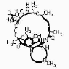 CC(=O)O[C@H]1[C@H](C)[C@H](O)[C@H](C)C[C@@H](C)/C=C/C=C(/C)C(=O)NC2=C3NCCN(C)CCCC/N=C\3c3c(c(O)c(C)c4c3C(=O)[C@@](C)(CCC[C@H]1C)O4)C2=O